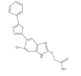 O=C(O)CSc1nc2cc(-c3ccc(-c4ccccc4)s3)c(Cl)cc2[nH]1